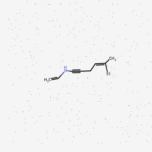 C=CNC#CC/C=C(/C)CC